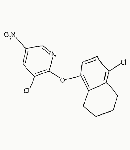 O=[N+]([O-])c1cnc(Oc2ccc(Cl)c3c2CCCC3)c(Cl)c1